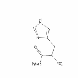 [C-]#[N+]C(Cc1c[nH]cn1)C(=O)OC